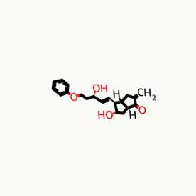 C=C1C[C@H]2[C@H](/C=C/[C@@H](O)CCOc3ccccc3)[C@H](O)C[C@@H]2C1=O